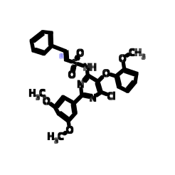 COc1cc(OC)cc(-c2nc(Cl)c(Oc3ccccc3OC)c(NS(=O)(=O)/C=C/c3ccccc3)n2)c1